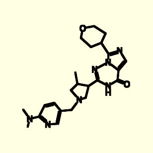 CC1CN(Cc2ccc(N(C)C)nc2)CC1c1nn2c(C3CCOCC3)ncc2c(=O)[nH]1